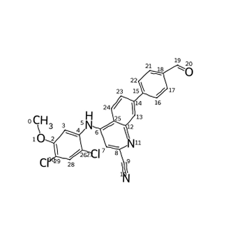 COc1cc(Nc2cc(C#N)nc3cc(-c4ccc(C=O)cc4)ccc23)c(Cl)cc1Cl